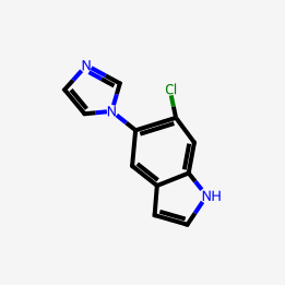 Clc1cc2[nH]ccc2cc1-n1ccnc1